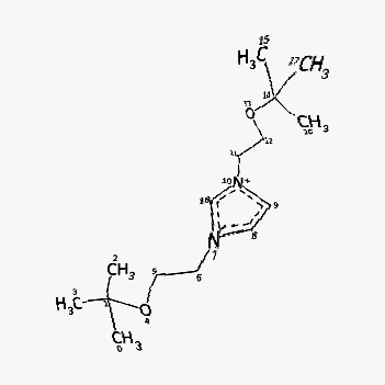 CC(C)(C)OCCn1cc[n+](CCOC(C)(C)C)c1